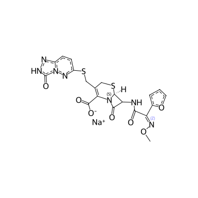 CO/N=C(\C(=O)NC1C(=O)N2C(C(=O)[O-])=C(CSc3ccc4n[nH]c(=O)n4n3)CS[C@@H]12)c1ccco1.[Na+]